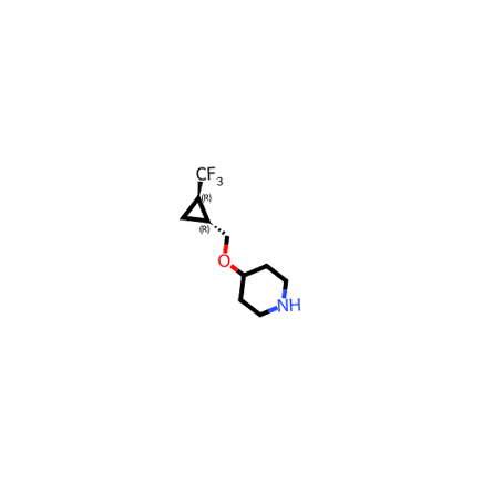 FC(F)(F)[C@@H]1C[C@H]1COC1CCNCC1